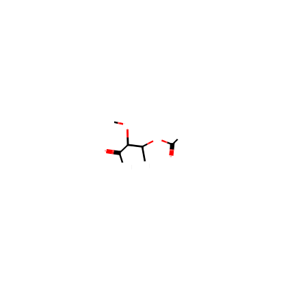 COC(C(C)=O)C(C)OC(C)=O